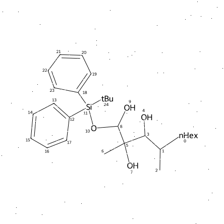 CCCCCCC(C)C(O)C(C)(O)C(O)O[Si](c1ccccc1)(c1ccccc1)C(C)(C)C